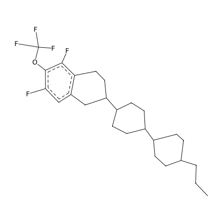 CCCC1CCC(C2CCC(C3CCc4c(cc(F)c(OC(F)(F)F)c4F)C3)CC2)CC1